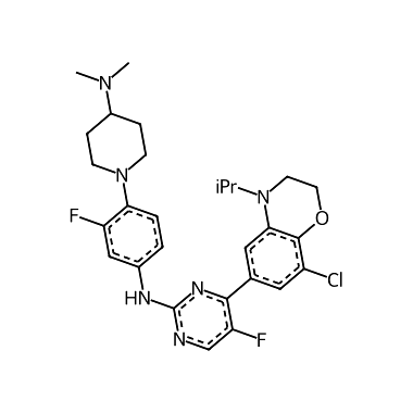 CC(C)N1CCOc2c(Cl)cc(-c3nc(Nc4ccc(N5CCC(N(C)C)CC5)c(F)c4)ncc3F)cc21